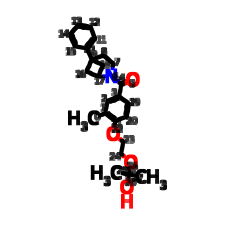 Cc1cc(C(=O)N2CCC3(c4ccccc4)CC2C3)ccc1OCCOC(C)(C)O